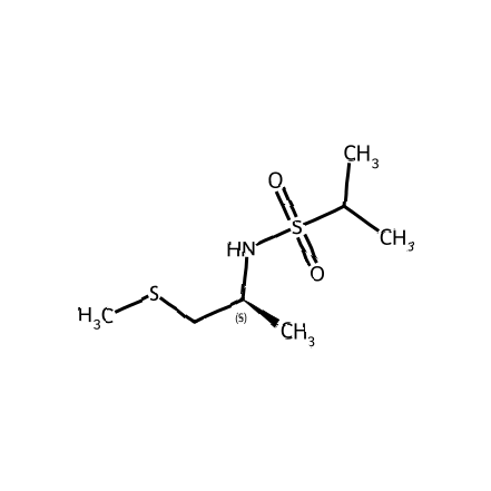 CSC[C@H](C)NS(=O)(=O)C(C)C